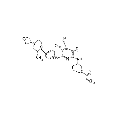 C=CC(=O)N1CCCC(Nc2nc(Nc3ccc(N4CCN(C5COC5)CC4C)cc3)c3c(c2F)NC3=O)C1